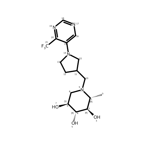 C[C@@H]1[C@@H](O)[C@H](O)[C@@H](O)CN1CC1CCN(c2cncnc2C(F)(F)F)C1